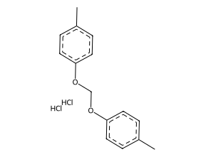 Cc1ccc(OCOc2ccc(C)cc2)cc1.Cl.Cl